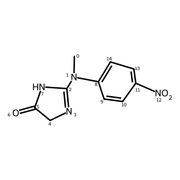 CN(C1=NCC(=O)N1)c1ccc([N+](=O)[O-])cc1